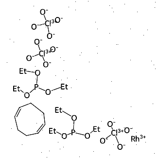 C1=C\CC/C=C\CC/1.CCOP(OCC)OCC.CCOP(OCC)OCC.[O-][Cl+3]([O-])([O-])[O-].[O-][Cl+3]([O-])([O-])[O-].[O-][Cl+3]([O-])([O-])[O-].[Rh+3]